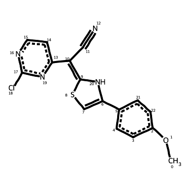 COc1ccc(C2=CS/C(=C(/C#N)c3ccnc(Cl)n3)N2)cc1